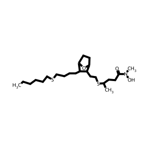 CCCCCCSCCCCC1C2CCC(O2)C1CCSC(C)CCC(=O)N(C)O